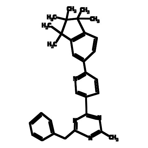 Cc1nc(Cc2ccccc2)nc(-c2ccc(-c3ccc4c(c3)C(C)(C)C(C)(C)C4(C)C)nc2)n1